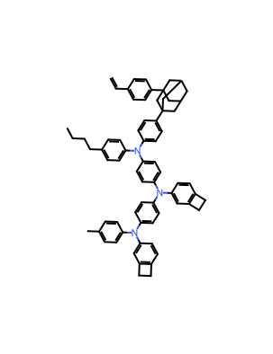 C=Cc1ccc(C23CC4CC(C2)CC(c2ccc(N(c5ccc(CCCC)cc5)c5ccc(N(c6ccc(N(c7ccc(C)cc7)c7ccc8c(c7)CC8)cc6)c6ccc7c(c6)CC7)cc5)cc2)(C4)C3)cc1